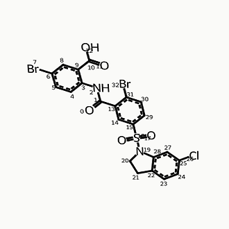 O=C(Nc1ccc(Br)cc1C(=O)O)c1cc(S(=O)(=O)N2CCc3ccc(Cl)cc32)ccc1Br